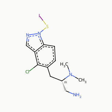 CN(C)[C@H](CN)Cc1ccc2c(cnn2SI)c1Cl